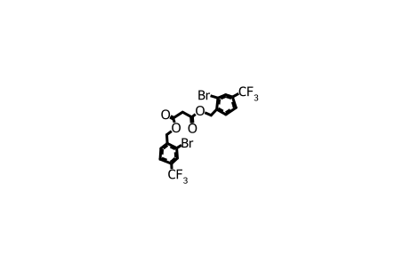 O=C(CC(=O)OCc1ccc(C(F)(F)F)cc1Br)OCc1ccc(C(F)(F)F)cc1Br